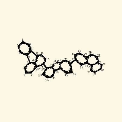 c1ccc2c(c1)-c1cccc3c(-c4cccc5c4sc4cc(-c6ccc7ccc8ccccc8c7c6)ccc45)ccc-2c13